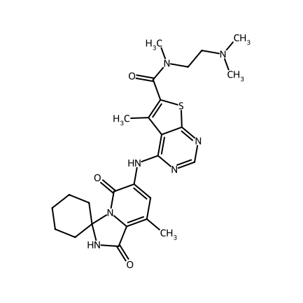 Cc1cc(Nc2ncnc3sc(C(=O)N(C)CCN(C)C)c(C)c23)c(=O)n2c1C(=O)NC21CCCCC1